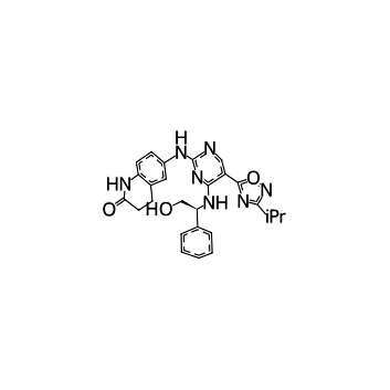 CC(C)c1noc(-c2cnc(Nc3ccc4c(c3)CCC(=O)N4)nc2N[C@H](CO)c2ccccc2)n1